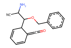 N#CC(N)C(OCc1ccccc1)C1C=CC=CC1=C=O